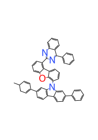 CC1C=CC(c2ccc3c4ccc(-c5ccccc5)cc4n(-c4cccc5c4oc4cccc(-c6nc(-c7ccccc7)c7ccccc7n6)c45)c3c2)=CC1